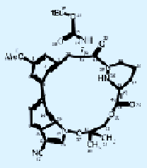 COc1cc2cc(c1)-c1ccc3c(C#N)cn(c3c1)CC(C)(C)COC(=O)[C@@H]1CCCN(N1)C(=O)[C@@H](NC(=O)OC(C)(C)C)C2